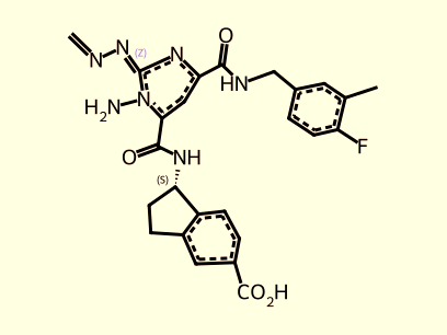 C=N/N=c1/nc(C(=O)NCc2ccc(F)c(C)c2)cc(C(=O)N[C@H]2CCc3cc(C(=O)O)ccc32)n1N